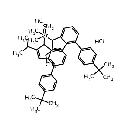 CCC1=Cc2c(-c3ccc(C(C)(C)C)cc3)cccc2[CH]1[Zr]([CH3])([CH3])(=[SiH2])[CH]1C(C(C)C)=Cc2c(-c3ccc(C(C)(C)C)cc3)cccc21.Cl.Cl